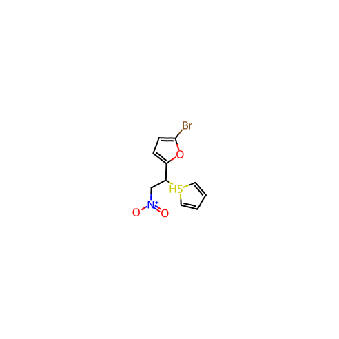 O=[N+]([O-])CC(c1ccc(Br)o1)[SH]1C=CC=C1